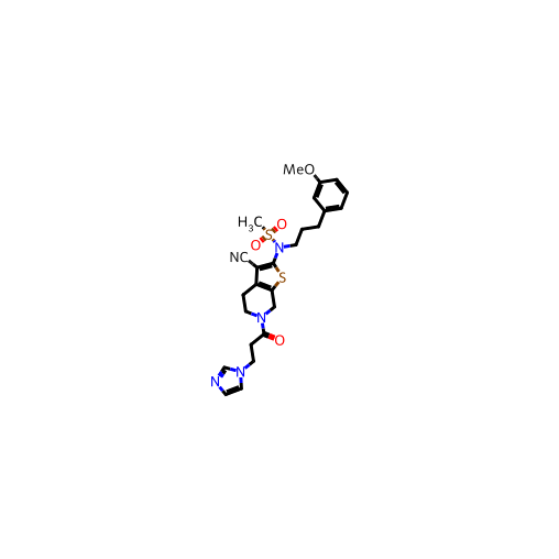 COc1cccc(CCCN(c2sc3c(c2C#N)CCN(C(=O)CCn2ccnc2)C3)S(C)(=O)=O)c1